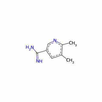 Cc1cc(C(=N)N)cnc1C